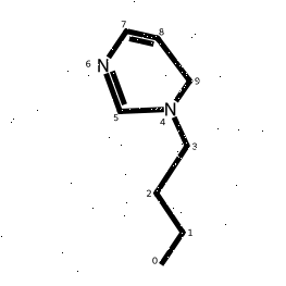 CCCCN1C=NC=CC1